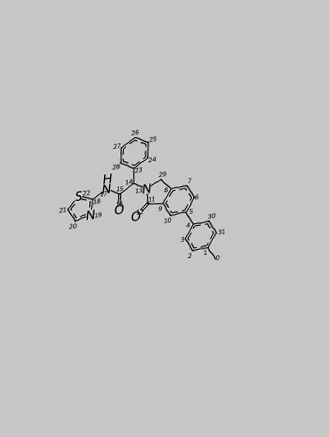 Cc1ccc(-c2ccc3c(c2)C(=O)N(C(C(=O)Nc2nccs2)c2ccccc2)C3)cc1